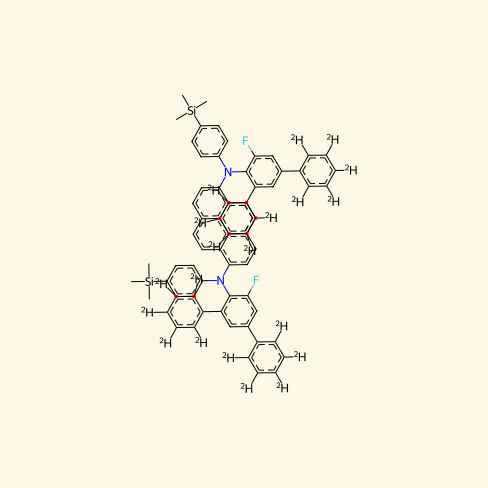 [2H]c1c([2H])c([2H])c(-c2cc(F)c(N(c3ccc([Si](C)(C)C)cc3)c3ccc4ccc5c(N(c6ccc([Si](C)(C)C)cc6)c6c(F)cc(-c7c([2H])c([2H])c([2H])c([2H])c7[2H])cc6-c6c([2H])c([2H])c([2H])c([2H])c6[2H])ccc6ccc3c4c65)c(-c3c([2H])c([2H])c([2H])c([2H])c3[2H])c2)c([2H])c1[2H]